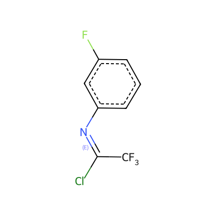 Fc1cccc(/N=C(/Cl)C(F)(F)F)c1